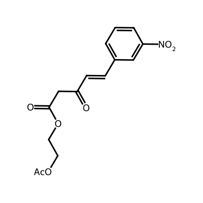 CC(=O)OCCOC(=O)CC(=O)C=Cc1cccc([N+](=O)[O-])c1